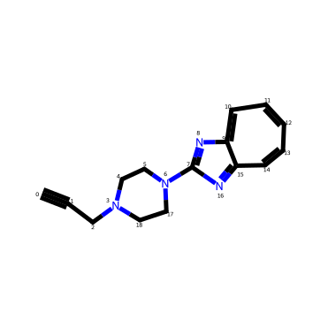 C#CCN1CCN(c2nc3cccccc-3n2)CC1